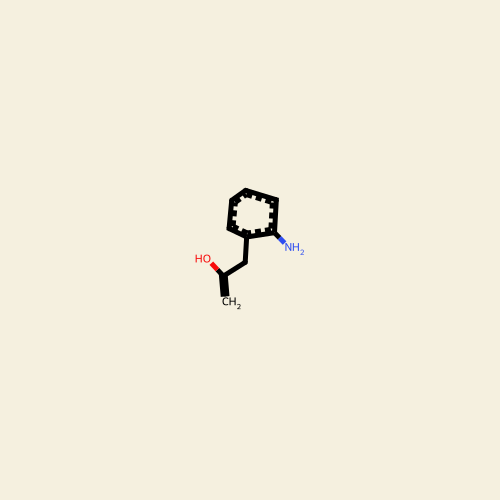 C=C(O)Cc1ccccc1N